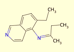 CC/C(C)=N\c1c(CC)ccc2cnccc12